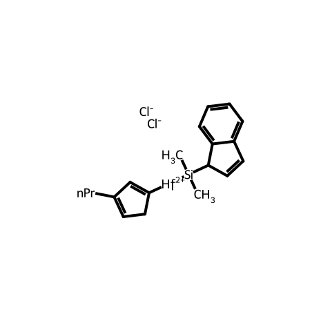 CCCC1=CC[C]([Hf+2][Si](C)(C)C2C=Cc3ccccc32)=C1.[Cl-].[Cl-]